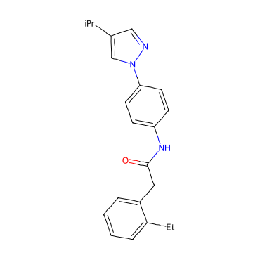 CCc1ccccc1CC(=O)Nc1ccc(-n2cc(C(C)C)cn2)cc1